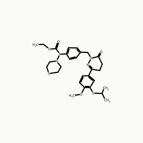 CCOC(=O)N(c1ccc(CN2N=C(c3ccc(OC)c(OC(C)C)c3)CCC2=O)cc1)N1CCSCC1